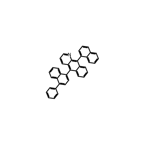 c1ccc(-c2ccc(-c3c4ccccc4c(-c4cccc5ccccc45)c4ncccc34)c3ccccc23)cc1